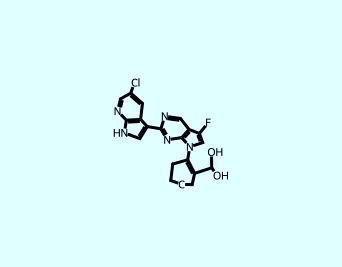 OC(O)C1=C(n2cc(F)c3cnc(-c4c[nH]c5ncc(Cl)cc45)nc32)CCCC1